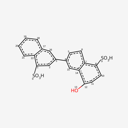 O=S(=O)(O)c1cc(-c2ccc3c(S(=O)(=O)O)ccc(O)c3c2)cc2ccccc12